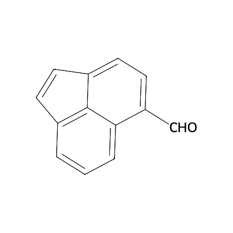 O=Cc1ccc2c3c(cccc13)C=C2